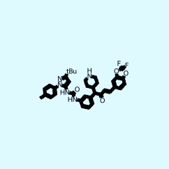 Cc1ccc(-n2nc(C(C)(C)C)cc2NC(=O)Nc2cccc(C(C(=O)C=Cc3ccc4c(c3)OC(F)(F)O4)C3CCNCC3)c2)cc1